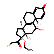 COCO[C@]1(C(=O)CF)CC[C@H]2C3=C([C@@H](O)C[C@@]21C)[C@@]1(C)C=CC(=O)C=C1CC3